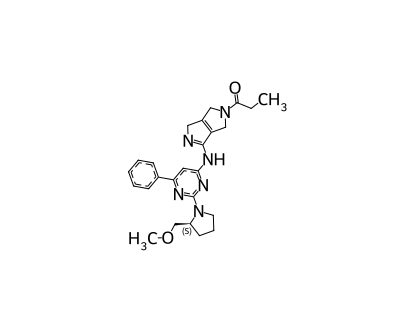 CCC(=O)N1CC2=C(C1)C(Nc1cc(-c3ccccc3)nc(N3CCC[C@H]3COC)n1)=NC2